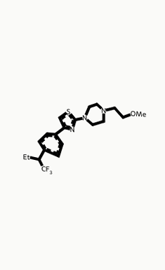 CCC(c1ccc(-c2csc(N3CCN(CCOC)CC3)n2)cc1)C(F)(F)F